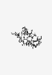 Cc1ccc(-c2c(-c3ccc(OCCN(C)C)cc3)[nH]c3nccc(Cl)c23)cc1NC=O